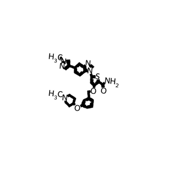 CN1CCC(Oc2cccc(COc3cc(-n4cnc5cc(-c6cnn(C)c6)ccc54)sc3C(N)=O)c2)CC1